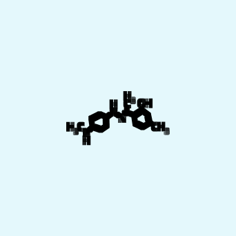 CBc1ccc(N/N=C(\C)c2ccc(C)cc2O)cc1